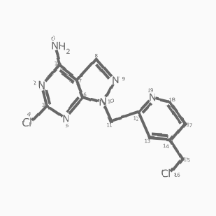 Nc1nc(Cl)nc2c1cnn2Cc1cc(CCl)ccn1